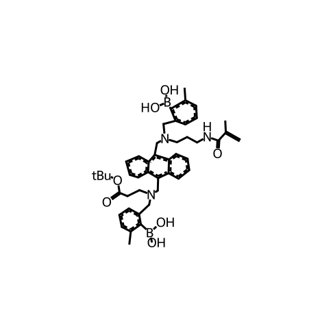 C=C(C)C(=O)NCCCN(Cc1cccc(C)c1B(O)O)Cc1c2ccccc2c(CN(CCC(=O)OC(C)(C)C)Cc2cccc(C)c2B(O)O)c2ccccc12